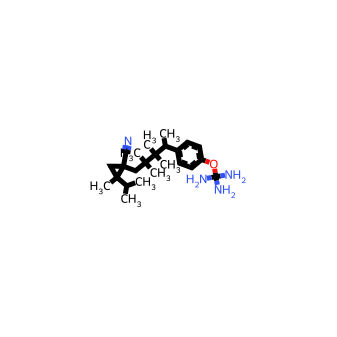 CC(c1ccc(OC(N)(N)N)cc1)C(C)(C)C(C)(C)CC1(C#N)CC1(C)C(C)C